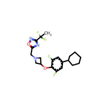 CC(F)(F)c1noc(CN2CC(Oc3c(F)cc(C4CCCCC4)cc3F)C2)n1